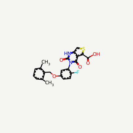 Cc1cccc(C)c1COc1ccc(F)c(-n2c(=O)[nH]c3csc(C(=O)O)c3c2=O)c1